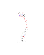 CC1(C)CN(Cc2ccc(-c3ccc(OCCOCCOCCOc4cccc5c4C(=O)N(C4CCC(=O)NC4=O)C5=O)cc3)cc2F)C(=O)C1Oc1ccc(C#N)c(C(F)(F)F)c1